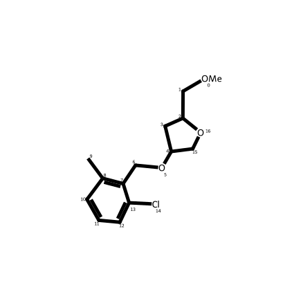 COCC1CC(OCc2c(C)cccc2Cl)CO1